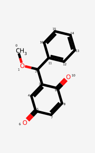 COC(C1=CC(=O)C=CC1=O)c1ccccc1